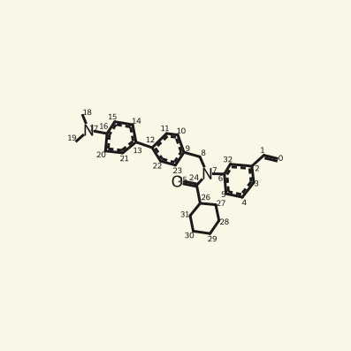 C=Cc1cccc(N(Cc2ccc(-c3ccc(N(C)C)cc3)cc2)C(=O)C2CCCCC2)c1